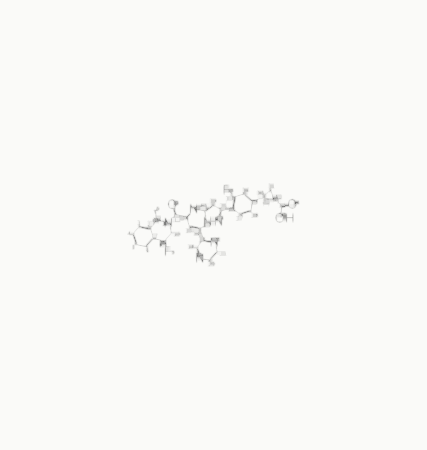 C[C@@H]1c2ccccc2[C@H](F)CN1C(=O)c1cc(-c2cnccn2)n2nc(-c3ccc([C@H]4C[C@@H]4C(=O)O)cc3F)cc2n1